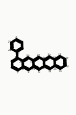 c1ccc(-c2cccc3cc4cc5cc6ccccc6cc5cc4cc23)cc1